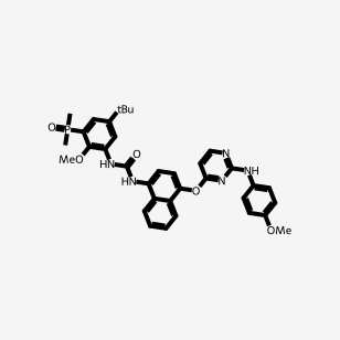 COc1ccc(Nc2nccc(Oc3ccc(NC(=O)Nc4cc(C(C)(C)C)cc(P(C)(C)=O)c4OC)c4ccccc34)n2)cc1